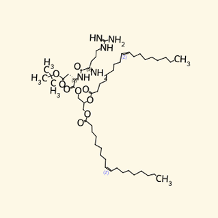 CCCCCCCC/C=C\CCCCCCCC(=O)OCC(COC(=O)[C@H](CC(=O)OC(C)(C)C)NC(=O)[C@@H](N)CCCNC(=N)N)OC(=O)CCCCCCC/C=C\CCCCCCCC